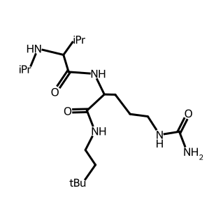 CC(C)NC(C(=O)NC(CCCNC(N)=O)C(=O)NCCC(C)(C)C)C(C)C